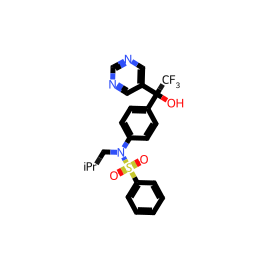 CC(C)CN(c1ccc(C(O)(c2cncnc2)C(F)(F)F)cc1)S(=O)(=O)c1ccccc1